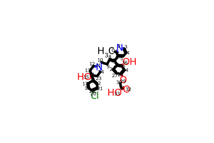 Cc1ncccc1C(=CCCN1CCC(O)(c2ccc(Cl)cc2)CC1)c1ccc(OCC(=O)O)cc1O